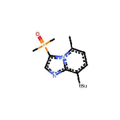 Cc1ccc(C(C)(C)C)c2ncc(P(C)(C)=O)n12